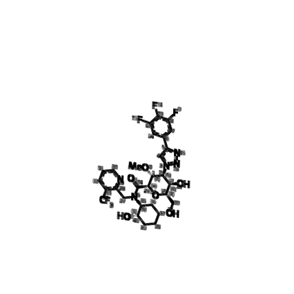 CO[C@@H]1[C@@H](n2cc(-c3cc(F)c(F)c(F)c3)nn2)[C@@H](O)[C@@H](CO)O[C@H]1C(=O)N(Cc1ncccc1C(F)(F)F)[C@H]1CCCC[C@@H]1O